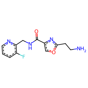 NCCc1nc(C(=O)NCc2ncccc2F)co1